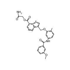 COc1cccc(C(=O)Nc2ccc(C)c(OCc3csc4c(C(=O)OCC(N)=O)cncc34)c2)c1